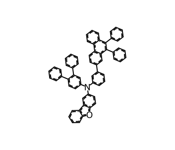 c1ccc(-c2ccc(N(c3cccc(-c4ccc5c(c4)c(-c4ccccc4)c(-c4ccccc4)c4ccccc45)c3)c3ccc4oc5ccccc5c4c3)cc2-c2ccccc2)cc1